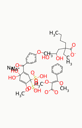 CCCCC(CC)(CC(O)CO)C(=O)[O-].COC(C(=O)[O-])=C(OC)c1ccccc1.COC1=CC(O)(O)C(C(=O)c2ccc(OC)cc2)=CC1(S(=O)(=O)O)S(=O)(=O)O.[Na+].[Na+]